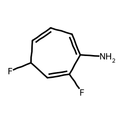 NC1=CC=CC(F)C=C1F